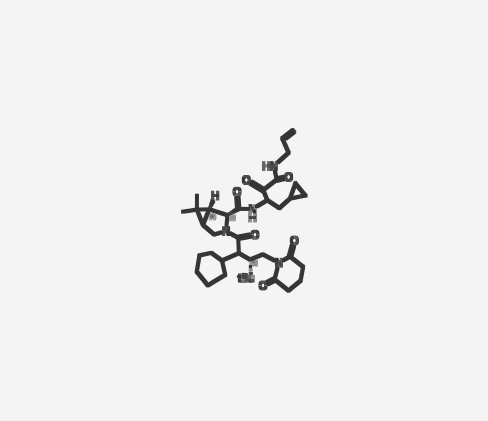 C=CCNC(=O)C(=O)C(CC1CC1)NC(=O)[C@@H]1[C@@H]2C(CN1C(=O)C(C1CCCCC1)[C@H](CN1C(=O)CCCC1=O)C(C)(C)C)C2(C)C